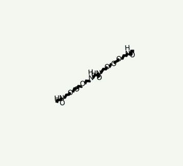 C=CC(=O)NCCCOCCOCCOCCCNCCC(=O)NCCCOCCOCCOCCCNC(=O)C=C